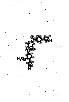 COc1cc(N2CCC3(CCN(C(=O)c4ccc(-c5cc[nH]n5)cc4)CC3)C2=O)ccc1-c1cn[nH]c1